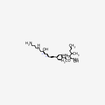 C=CC[C@@H](C)[C@H](NC(=C)c1ccc(C#C/C=C/C=C(\O)CNCCCN)cc1)C(=O)NO